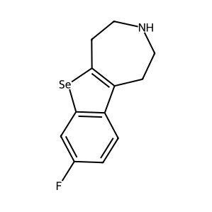 Fc1ccc2c3c([se]c2c1)CCNCC3